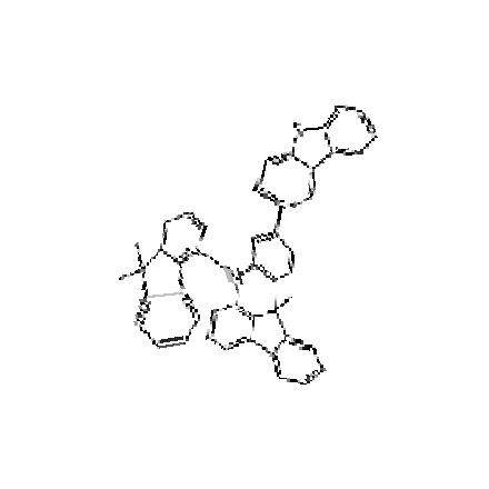 CC1(C)c2ccccc2-c2c(N(c3cccc(-c4ccc5sc6ccccc6c5c4)c3)c3cccc4c3C(C)(C)c3ccccc3-4)cccc21